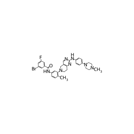 Cc1ccc(NC(=O)c2cc(F)cc(Br)c2)cc1N1CCc2nc(Nc3ccc(N4CCN(C)CC4)cc3)ncc2C1